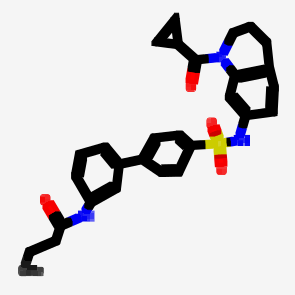 COCCC(=O)Nc1cccc(-c2ccc(S(=O)(=O)Nc3ccc4c(c3)N(C(=O)C3CC3)CCC4)cc2)c1